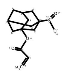 C=CC(=O)OC12CC3CC(C1)CC([N+](=O)[O-])(C3)C2